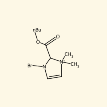 CCCCOC(=O)C1N(Br)C=C[N+]1(C)C